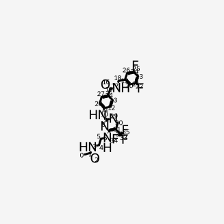 CC(=O)NCCNc1nc(Nc2ccc(C(=O)NCc3cc(F)cc(F)c3)cc2)ncc1C(F)(F)F